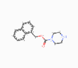 O=C(OCc1cccc2ccccc12)N1CCNCC1